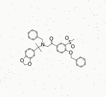 CC(C)(c1ccc2c(c1)OCO2)N(CC(=O)c1ccc(OCc2ccccc2)c(S(C)(=O)=O)c1)Cc1ccccc1